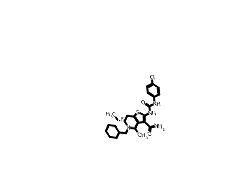 CC[C@@H]1Cc2sc(NC(=O)Nc3ccc(Cl)cc3)c(C(N)=O)c2C(C)N1CC1CCCCC1